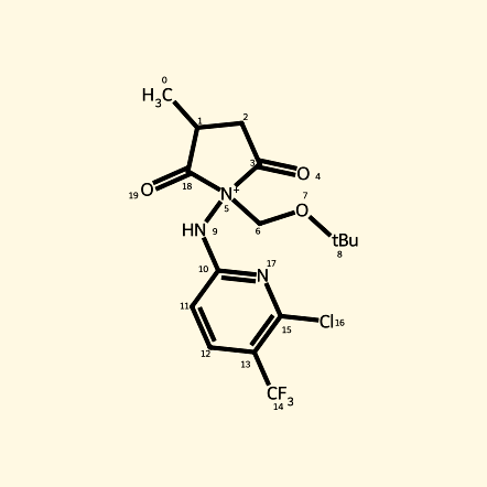 CC1CC(=O)[N+](COC(C)(C)C)(Nc2ccc(C(F)(F)F)c(Cl)n2)C1=O